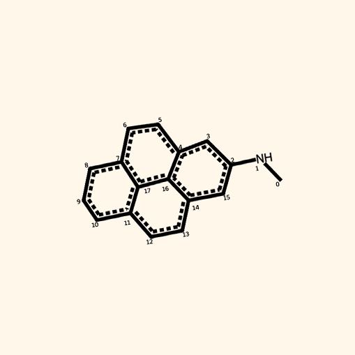 CNc1cc2ccc3cccc4ccc(c1)c2c34